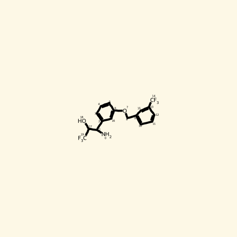 NC(c1cccc(OCc2cccc(C(F)(F)F)c2)c1)C(O)C(F)(F)F